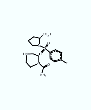 NC(=O)N1CCNCC1.O=C(O)[C@@H]1CCCN1S(=O)(=O)c1ccc(F)cc1